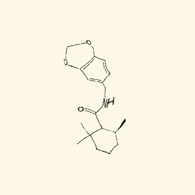 C[C@H]1CCCC(C)(C)C1C(=O)Nc1ccc2c(c1)OCO2